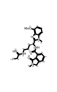 COc1cccc2c1nc([C@H](CCCNC(=N)CF)NC(=O)c1cccc3c1C(=O)N(C)C3)n2C